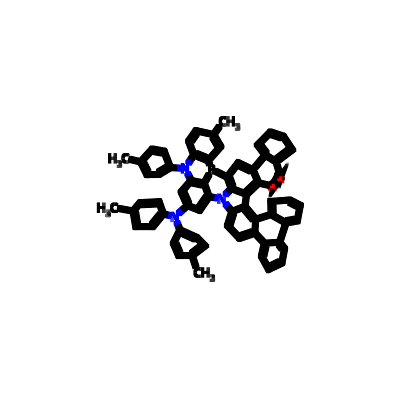 Cc1ccc(N(c2ccc(C)cc2)c2cc3c4c(c2)-n2c5ccc6c7ccccc7c7ccccc7c6c5c5c6c7ccccc7c7ccccc7c6cc(c52)B4c2cc(C)ccc2N3c2ccc(C)cc2)cc1